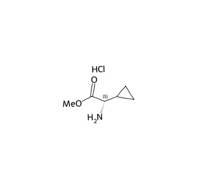 COC(=O)[C@@H](N)C1CC1.Cl